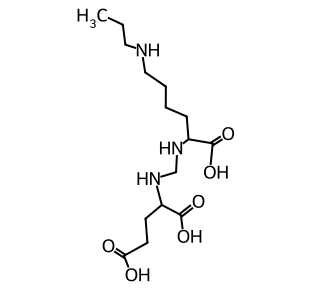 CCCNCCCCC(NCNC(CCC(=O)O)C(=O)O)C(=O)O